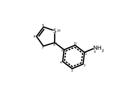 Nc1cccc([C]2CC=CS2)c1